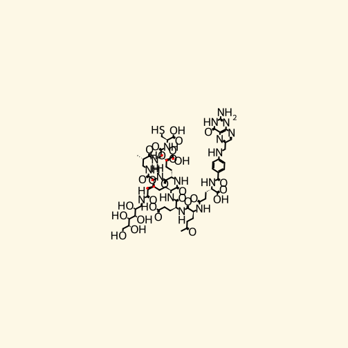 CC(=O)CC[C@H](NC(=O)CC[C@H](NC(=O)c1ccc(NCc2cnc3nc(N)[nH]c(=O)c3n2)cc1)C(=O)O)C(=O)N[C@@H](CCC(=O)O)C(=O)N[C@@H](CCC(C)=O)C(=O)N[C@@H](CCC(=O)O)C(=O)N[C@@H](CCC(=O)NC[C@H](O)[C@@H](O)[C@H](O)[C@H](O)CO)C(=O)NC[C@H](C)C(=O)N[C@@H](CC(=O)O)C(=O)N[C@@H](CS)C(=O)O